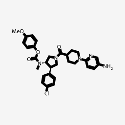 COc1ccc(OC(=O)N(C)[C@@H]2CN(C(=O)C3CCN(c4ccc(N)cn4)CC3)C[C@H]2c2ccc(Cl)cc2)cc1